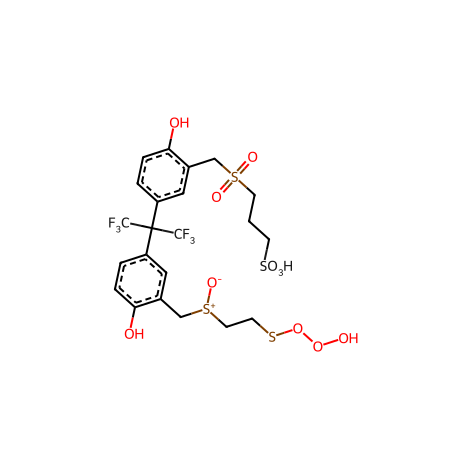 O=S(=O)(O)CCCS(=O)(=O)Cc1cc(C(c2ccc(O)c(C[S+]([O-])CCSOOO)c2)(C(F)(F)F)C(F)(F)F)ccc1O